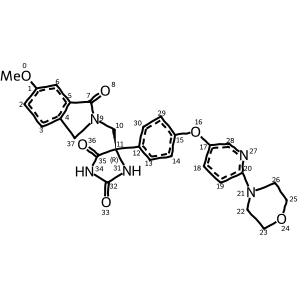 COc1ccc2c(c1)C(=O)N(C[C@@]1(c3ccc(Oc4ccc(N5CCOCC5)nc4)cc3)NC(=O)NC1=O)C2